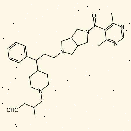 Cc1ncnc(C)c1C(=O)N1CC2CN(CCC(c3ccccc3)C3CCN(CC(C)CC=O)CC3)CC2C1